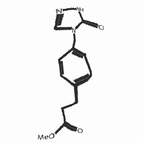 COC(=O)CCc1ccc(-n2cn[nH]c2=O)cc1